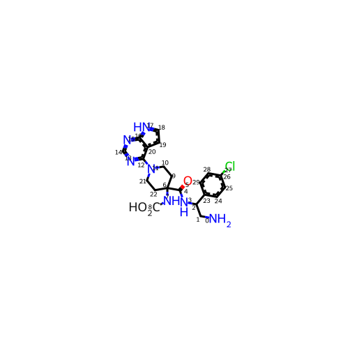 NCC(NC(=O)C1(NC(=O)O)CCN(c2ncnc3[nH]ccc23)CC1)c1ccc(Cl)cc1